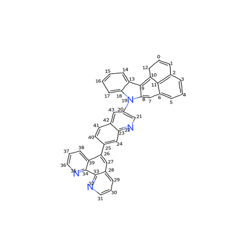 C1=Cc2cccc3cc4c(c(c23)C1)c1ccccc1n4-c1cnc2cc(-c3cc4cccnc4c4ncccc34)ccc2c1